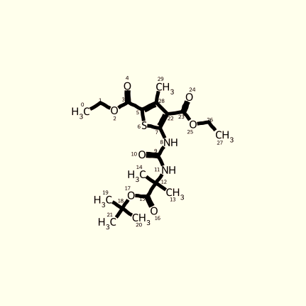 CCOC(=O)c1sc(NC(=O)NC(C)(C)C(=O)OC(C)(C)C)c(C(=O)OCC)c1C